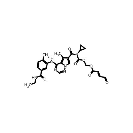 CCNC(=O)c1ccc(C)c(Nc2ncnn3cc(C(=O)N(C(=O)OCOC(=O)/C=C/C=O)C4CC4)c(C)c23)c1